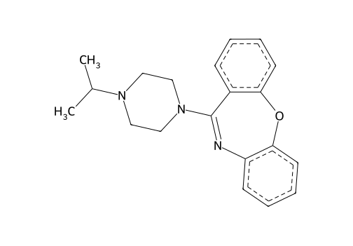 CC(C)N1CCN(C2=Nc3ccccc3Oc3ccccc32)CC1